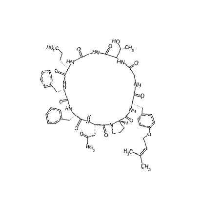 CC(C)=CCOc1ccc(C[C@@H]2NC(=O)[C@@H]3CCCN3C(=O)[C@H](CC(N)=O)NC(=O)[C@H](Cc3ccccc3)NC(=O)[C@H](Cc3ccccc3)NC(=O)[C@H](CCC(=O)O)NC(=O)CNC(=O)[C@H]([C@@H](C)O)NC(=O)CNC2=O)cc1